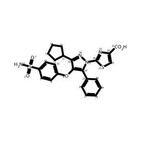 NS(=O)(=O)c1ccc(Oc2c(C3CCCC3)nn(-c3nc(C(=O)O)cs3)c2-c2ccccc2)cc1